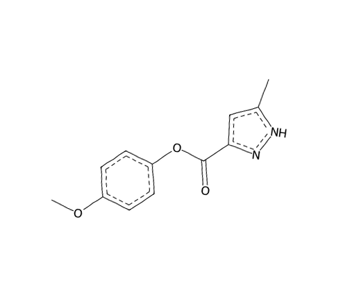 COc1ccc(OC(=O)c2cc(C)[nH]n2)cc1